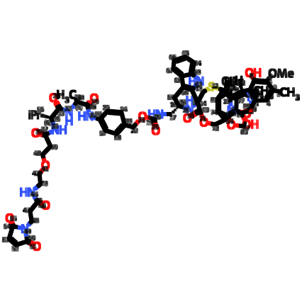 COc1c(C)cc2c(c1O)[C@H]1[C@@H]3[C@@H]4SC[C@]5(N[C@H](CNC(=O)OCc6ccc(NC(=O)[C@H](C)NC(=O)[C@@H](NC(=O)CCOCCNC(=O)CCN7C(=O)C=CC7=O)C(C)C)cc6)Cc6c5[nH]c5ccccc65)C(=O)OCC(c5c6c(c(C)c(OC(C)=O)c54)OCO6)N3C(O)(C2)CN1C